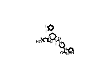 CC(C)(O)Cc1cnc2n1C[C@H](c1cccc(F)c1F)CC[C@H]2NC(=O)N1CCC(n2c(=O)[nH]c3ncccc32)CC1